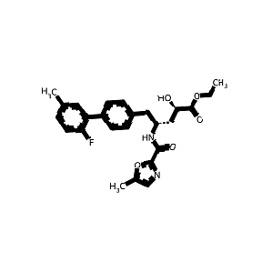 CCOC(=O)[C@H](O)C[C@@H](Cc1ccc(-c2cc(C)ccc2F)cc1)NC(=O)c1ncc(C)o1